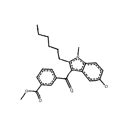 CCCCCCc1c(C(=O)c2cccc(C(=O)OC)c2)c2cc(Cl)ccc2n1C